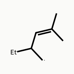 [CH2]C(C=C(C)C)CC